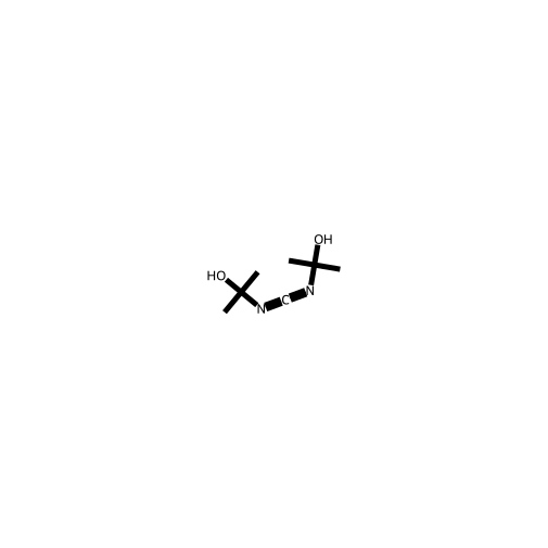 CC(C)(O)N=C=NC(C)(C)O